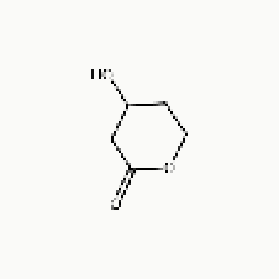 O=C1CC(O)CCO1